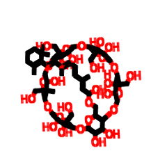 CC1=C(/C=C/C(C)=C/C=C/C(C)=C/C(O)OCC2OC3OC4C(CO)OC(OC5C(CO)OC(OC6C(CO)OC(OC7C(CO)OC(OC8C(CO)OC(OC2C(O)C3O)C(O)C8O)C(O)C7O)C(O)C6O)C(O)C5C)C(O)C4O)C(C)(C)CCC1